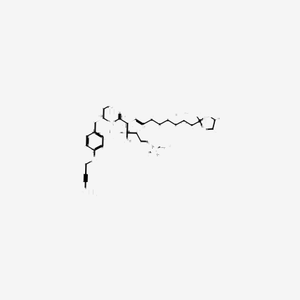 CC#CCOc1ccc(C[C@@H](CO)NC(=O)[C@@H](C=CCCCCCCC2(CCCCCCC)OCCO2)[C@@](O)(CCO[Si](C)(C)C(C)(C)C)C(=O)O)cc1